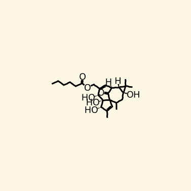 CCCCCC(=O)OCC1=C[C@@H]2C(=O)C3(C=C(C)[C@H](O)[C@@]3(O)[C@@H]1O)C(C)C[C@]1(O)[C@H]2C1(C)C